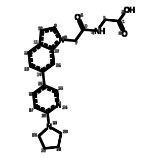 O=C(O)CNC(=O)Cn1ccc2ccc(-c3ccc(N4CCCC4)nc3)cc21